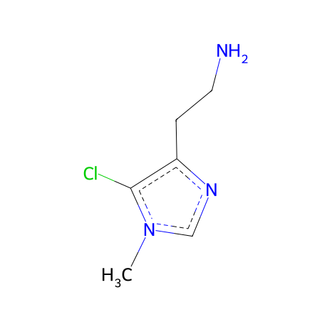 Cn1cnc(CCN)c1Cl